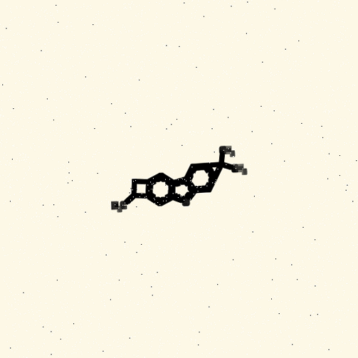 CC1Cc2cc3c(cc21)oc1cc2c(cc13)C2(C)C